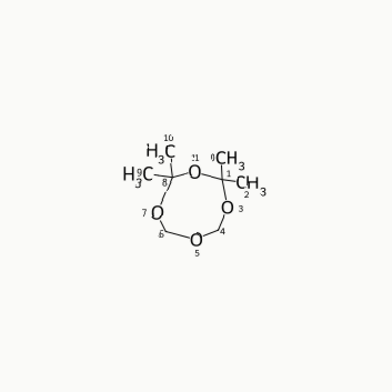 CC1(C)OCOCOC(C)(C)O1